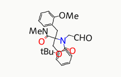 CNC(=O)C(Cc1ccccc1)(Cc1ccccc1OC)N(CC=O)C(=O)OC(C)(C)C